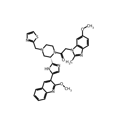 COc1ccc2nc(C)n(CC(=O)N3CCN(Cc4nccs4)C[C@H]3c3ncc(-c4cc5ccccc5nc4OC)[nH]3)c2c1